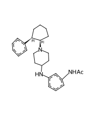 CC(=O)Nc1cccc(NC2CCN([C@@H]3CCCC[C@@H]3c3ccccc3)CC2)c1